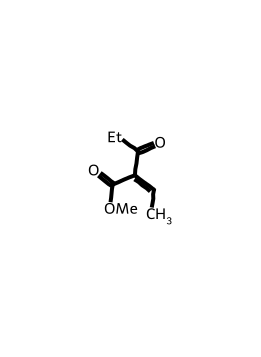 CC=C(C(=O)CC)C(=O)OC